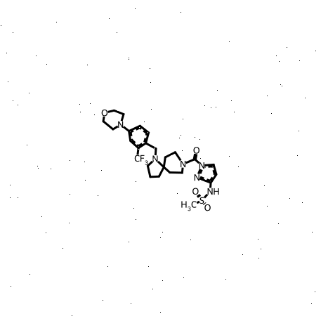 CS(=O)(=O)Nc1ccn(C(=O)N2CCC3(CCCN3Cc3ccc(N4CCOCC4)cc3C(F)(F)F)CC2)n1